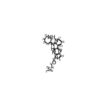 C[Si](C)(C)CCOCn1ccc2nc(-c3cccnc3NC3CCCCNC3)cnc21